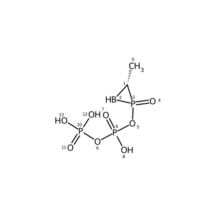 C[C@H]1BP1(=O)OP(=O)(O)OP(=O)(O)O